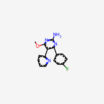 COc1nc(N)nc(-c2ccc(F)cc2)c1-c1ccccn1